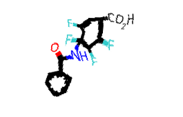 O=C(O)C1=C(F)C(F)C(F)(NC(=O)c2ccccc2)C(F)=C1